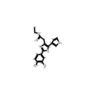 CCOC(=O)Cc1nc(-c2ccc(Cl)c(Cl)c2)oc1-c1ccoc1